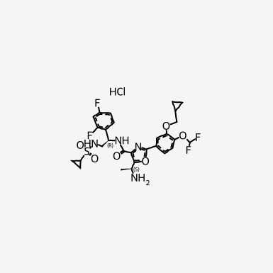 C[C@H](N)c1oc(-c2ccc(OC(F)F)c(OCC3CC3)c2)nc1C(=O)N[C@@H](CNS(=O)(=O)C1CC1)c1ccc(F)cc1F.Cl